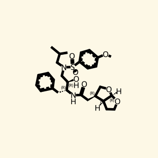 COc1ccc(S(=O)(=O)N(CC(C)C)C[C@@H](O)[C@@H](Cc2ccccc2)NC(=O)C[C@H]2CO[C@H]3OCC[C@@H]23)cc1